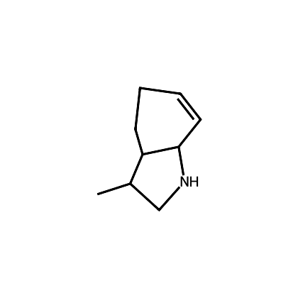 CC1CNC2C=CCCC12